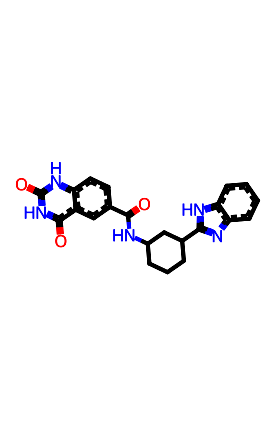 O=C(NC1CCCC(c2nc3ccccc3[nH]2)C1)c1ccc2[nH]c(=O)[nH]c(=O)c2c1